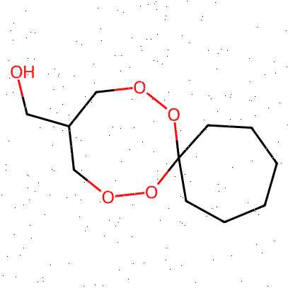 OCC1COOC2(CCCCCC2)OOC1